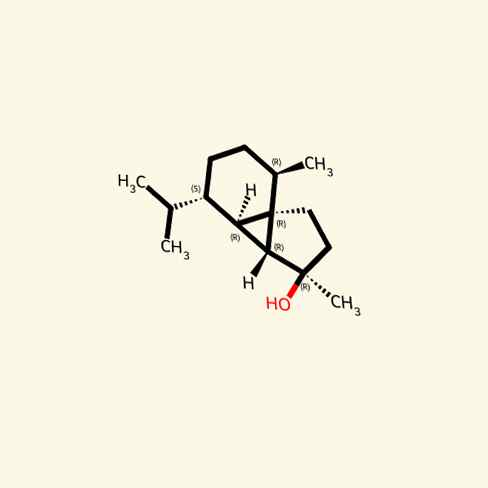 CC(C)[C@@H]1CC[C@@H](C)[C@@]23CC[C@@](C)(O)[C@@H]2[C@@H]13